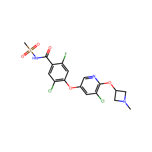 CN1CC(Oc2ncc(Oc3cc(F)c(C(=O)NS(C)(=O)=O)cc3Cl)cc2Cl)C1